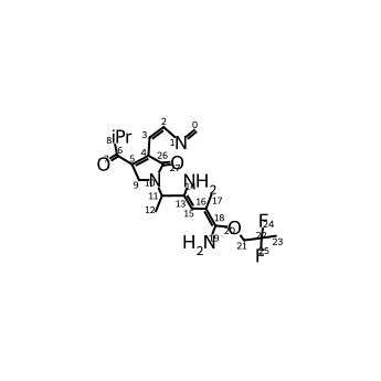 C=N/C=C\C1=C(C(=O)C(C)C)CN(C(C)/C(N)=C/C(C)=C(\N)OCC(C)(F)F)C1=O